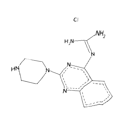 NC(N)=Nc1nc(N2CCNCC2)nc2ccccc12.[C]